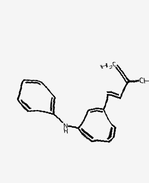 C=C(C)C=Cc1cccc(Nc2ccccc2)c1